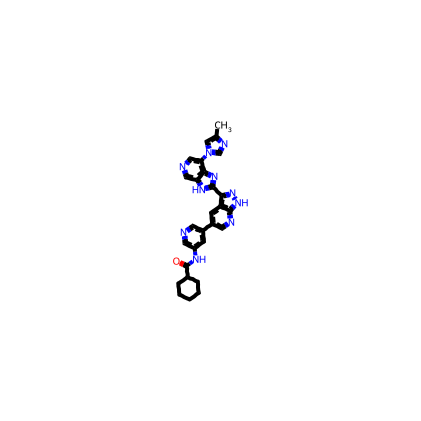 Cc1cn(-c2cncc3[nH]c(-c4n[nH]c5ncc(-c6cncc(NC(=O)C7CCCCC7)c6)cc45)nc23)cn1